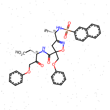 CC(C)[C@H](NS(=O)(=O)c1ccc2ccccc2c1)C1=NOC(COc2ccccc2)(C(=O)N[C@@H](CC(=O)O)C(=O)COc2ccccc2)C1